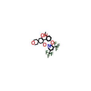 CCc1ccc(Oc2ncc(C(F)(F)F)cc2C(F)(F)F)cc1C1=C(O)CC2(CCOCC2)CC1=O